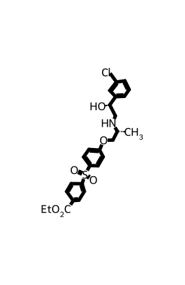 CCOC(=O)c1ccc(S(=O)(=O)c2ccc(OC[C@@H](C)NC[C@H](O)c3cccc(Cl)c3)cc2)cc1